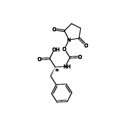 O=C(N[C@H](Cc1ccccc1)C(=O)O)ON1C(=O)CCC1=O